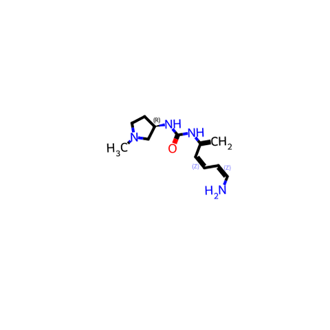 C=C(/C=C\C=C/N)NC(=O)N[C@@H]1CCN(C)C1